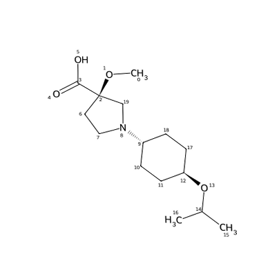 CO[C@]1(C(=O)O)CCN([C@H]2CC[C@H](OC(C)C)CC2)C1